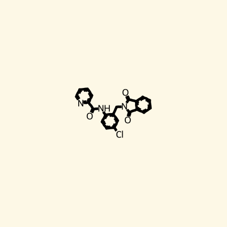 O=C(Nc1ccc(Cl)cc1CN1C(=O)c2ccccc2C1=O)c1ccccn1